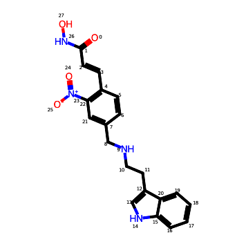 O=C(/C=C/c1ccc(CNCCc2c[nH]c3ccccc23)cc1[N+](=O)[O-])NO